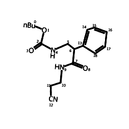 CCCCOC(=O)NCC(C(=O)NCCC#N)c1ccccc1